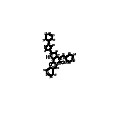 O=c1c2[nH]c(-c3cnn(-c4ccccc4)c3)cc2n(Cc2ccncc2)c(=O)n1Cc1ccncc1